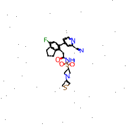 N#Cc1cc(-c2cc(F)c3c(c2CC(=O)NS(=O)(=O)C2CN(C4CSC4)C2)CCC3)ccn1